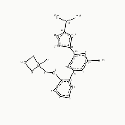 CC1(COc2cccnc2-c2cc(F)cc(-c3nnc(C(F)F)o3)c2)COC1